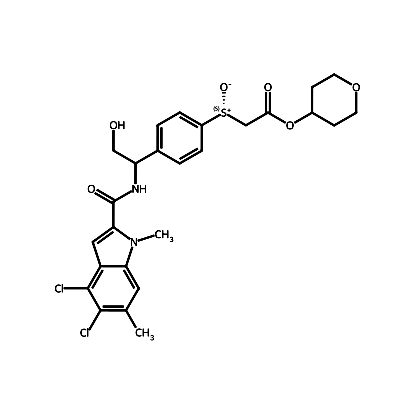 Cc1cc2c(cc(C(=O)NC(CO)c3ccc([S@+]([O-])CC(=O)OC4CCOCC4)cc3)n2C)c(Cl)c1Cl